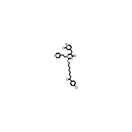 Cn1ccc(Cc2cn(CCc3ccncc3)c(SCCCCCCCC(=O)c3ccc(Cl)cc3)nc2=O)cc1=O